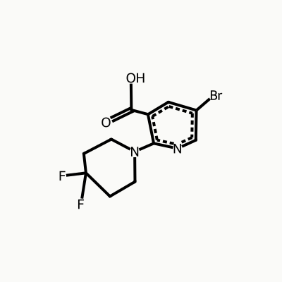 O=C(O)c1cc(Br)cnc1N1CCC(F)(F)CC1